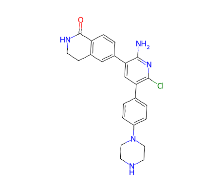 Nc1nc(Cl)c(-c2ccc(N3CCNCC3)cc2)cc1-c1ccc2c(c1)CCNC2=O